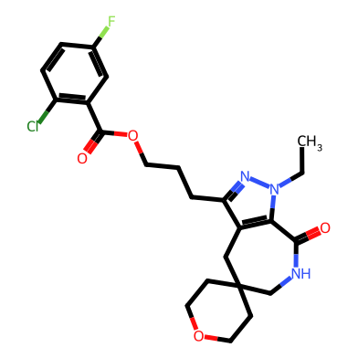 CCn1nc(CCCOC(=O)c2cc(F)ccc2Cl)c2c1C(=O)NCC1(CCOCC1)C2